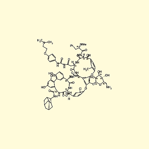 CN[C@H](CC(C)C)C(=O)N[C@H]1C(=O)N[C@@H](CC(=O)NC(=O)Nc2ccc(OCCN(C)C)cc2)C(=O)N[C@H]2C(=O)N[C@H]3C(=O)N[C@H](C(=O)N[C@H](C(=O)NC4C5CC6CC(C5)CC4C6)c4cc(O)cc(O)c4-c4cc3ccc4O)[C@H](O)c3ccc(c(Cl)c3)Oc3cc2cc(c3O[C@@H]2O[C@H](CN)[C@@H](O)[C@H](O)[C@H]2O)Oc2ccc(cc2C)[C@H]1O